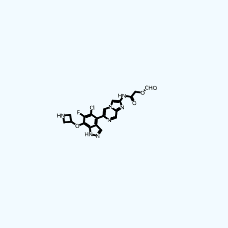 O=COCC(=O)Nc1cn2cc(-c3c(Cl)c(F)c(OC4CNC4)c4[nH]ncc34)ncc2n1